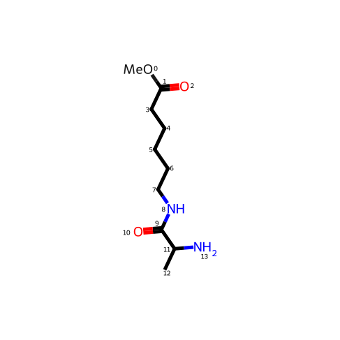 COC(=O)CCCCCNC(=O)C(C)N